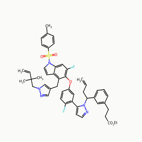 C=CCC(c1cccc(CCC(=O)OCC)c1)n1nccc1-c1cc(Oc2c(F)cc3c(ccn3S(=O)(=O)c3ccc(C)cc3)c2Cc2cnn(CC(C)(C)C=C)c2)ccc1F